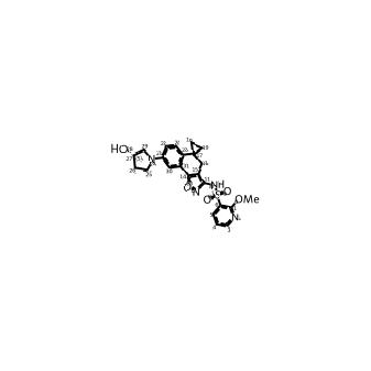 COc1ncccc1S(=O)(=O)Nc1noc2c1CC1(CC1)c1ccc(N3CC[C@H](O)C3)cc1-2